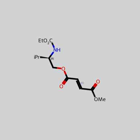 CCOC(=O)N[C@@H](COC(=O)/C=C/C(=O)OC)C(C)C